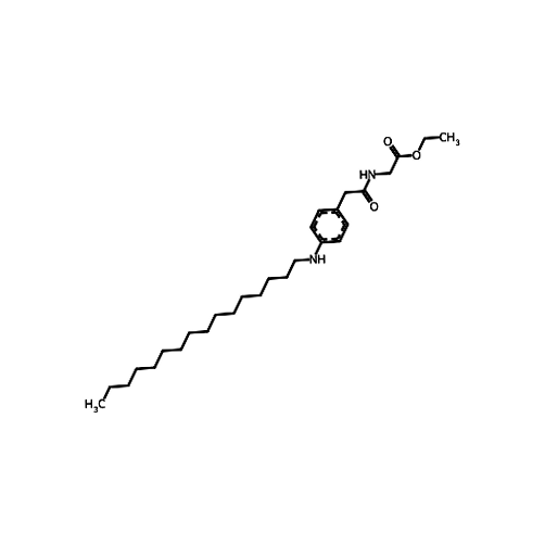 CCCCCCCCCCCCCCCCNc1ccc(CC(=O)NCC(=O)OCC)cc1